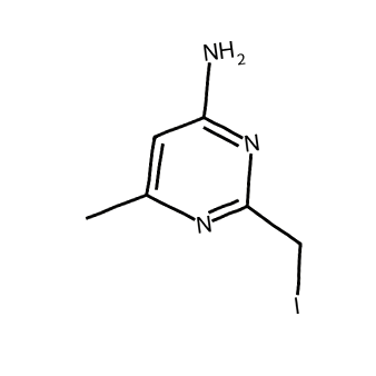 Cc1cc(N)nc(CI)n1